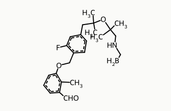 BCNCC(C)(C)OC(C)(C)Cc1ccc(COc2cccc(C=O)c2C)c(F)c1